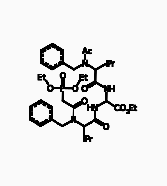 CCOC(=O)C(NC(=O)C(C(C)C)N(Cc1ccccc1)C(C)=O)NC(=O)C(C(C)C)N(Cc1ccccc1)C(=O)CP(=O)(OCC)OCC